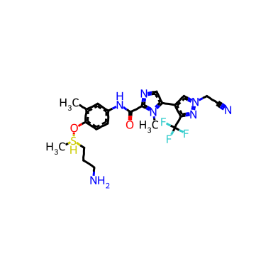 Cc1cc(NC(=O)c2ncc(-c3cn(CC#N)nc3C(F)(F)F)n2C)ccc1O[SH](C)CCCN